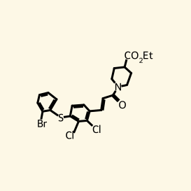 CCOC(=O)C1CCN(C(=O)C=Cc2ccc(Sc3ccccc3Br)c(Cl)c2Cl)CC1